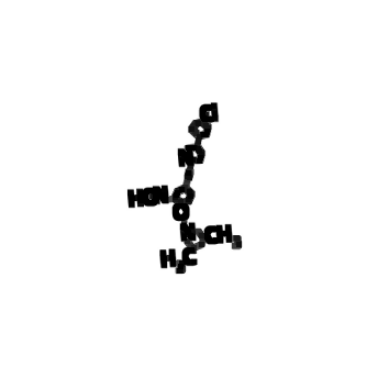 CC1CC(C)CN(CCOc2ccc(C#Cc3ccc(-c4ccc(Cl)cc4)cn3)cc2C=NO)C1